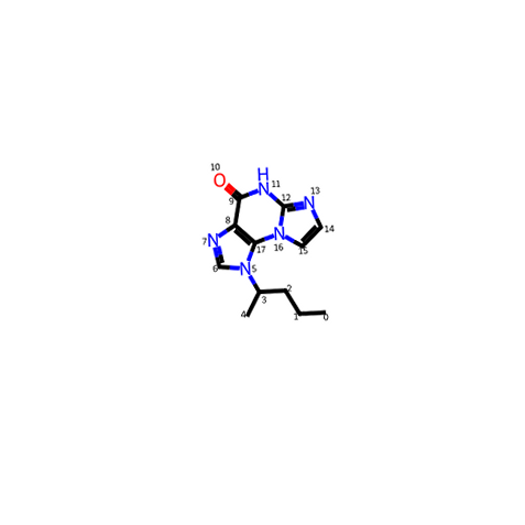 CCCC(C)n1cnc2c(=O)[nH]c3nccn3c21